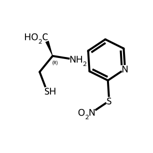 N[C@@H](CS)C(=O)O.O=[N+]([O-])Sc1ccccn1